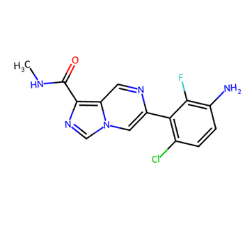 CNC(=O)c1ncn2cc(-c3c(Cl)ccc(N)c3F)ncc12